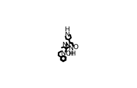 Cc1nn2c(C3CCNCC3)cc(=O)[nH]c2c1C(O)N1CCCc2ccccc21